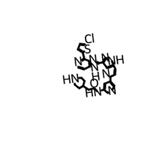 O=C(CC1CCNCC1)Nc1cncc(-c2ccc3[nH]nc(-c4nc5c(-c6ccc(Cl)s6)nccc5[nH]4)c3n2)c1